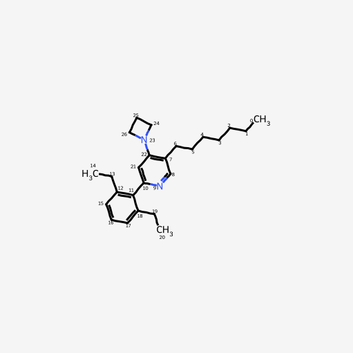 CCCCCCCc1cnc(-c2c(CC)cccc2CC)cc1N1CCC1